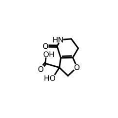 O=C1NCCC2=C1C(O)(C(=O)O)CO2